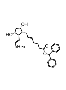 CCCCCCC=C[C@@H]1[C@@H](CC=CCCCC(=O)OC(c2ccccc2)c2ccccc2)[C@@H](O)C[C@H]1O